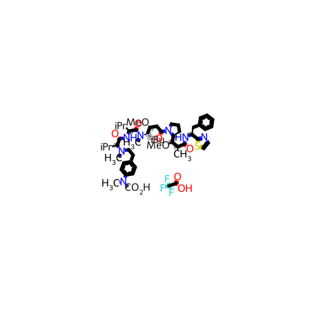 CC[C@H](C)[C@@H]([C@@H](CC(=O)N1CCC[C@H]1[C@H](OC)[C@@H](C)C(=O)N[C@@H](Cc1ccccc1)c1nccs1)OC)N(C)C(=O)[C@@H](NC(=O)[C@H](C(C)C)N(C)CCc1ccc(N(C)C(=O)O)cc1)C(C)C.O=C(O)C(F)(F)F